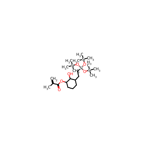 C=C(C)C(=O)OC1CCCC(CC[Si](O[Si](C)(C)C)(O[Si](C)(C)C)O[Si](C)(C)C)C1O